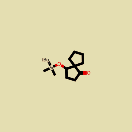 CC(C)(C)[Si](C)(C)OC1CCC(=O)C12CCCC2